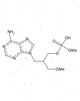 COCC(COP(=O)(O)OC)Cn1cnc2c(N)ncnc21